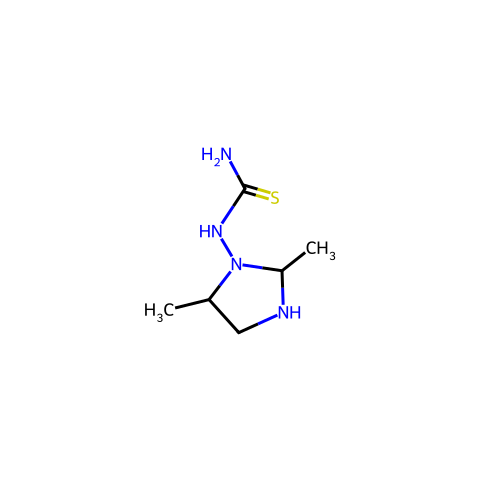 CC1CNC(C)N1NC(N)=S